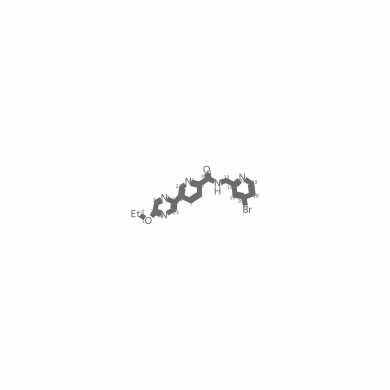 CCOc1cnc(-c2ccc(C(=O)NCc3cc(Br)ccn3)nc2)cn1